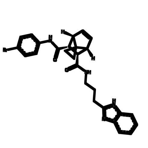 O=C(NCCCc1nc2ccccc2[nH]1)[C@H]1[C@H](C(=O)Nc2ccc(Br)cc2)[C@@H]2C=C[C@H]1C21CC1